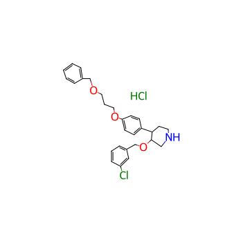 Cl.Clc1cccc(COC2CNCCC2c2ccc(OCCCOCc3ccccc3)cc2)c1